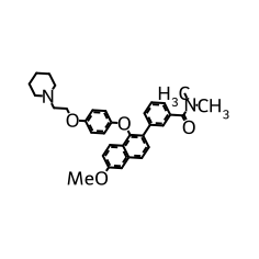 COc1ccc2c(Oc3ccc(OCCN4CCCCC4)cc3)c(-c3cccc(C(=O)N(C)C)c3)ccc2c1